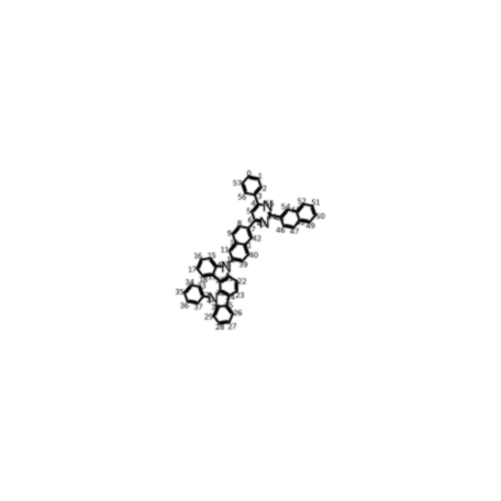 c1ccc(-c2cc(-c3ccc4cc(-n5c6ccccc6c6c5ccc5c7ccccc7n(-c7ccccc7)c56)ccc4c3)nc(-c3ccc4ccccc4c3)n2)cc1